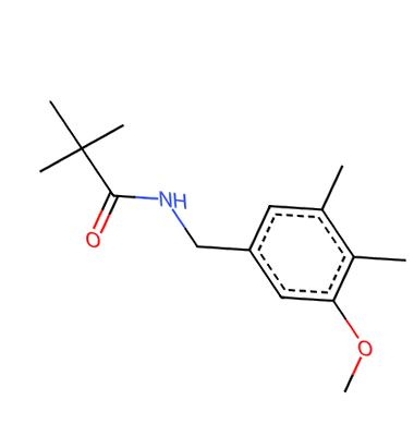 COc1cc(CNC(=O)C(C)(C)C)cc(C)c1C